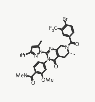 CNC(=O)c1ccc(-n2c(-n3nc(C(C)C)cc3C)nc3c(c2=O)C[C@@H](C)N(C(=O)c2ccc(Br)c(C(F)(F)F)c2)C3)cc1OC